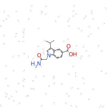 CC(C)c1cn(CC(N)=O)c2ccc(C(=O)O)cc12